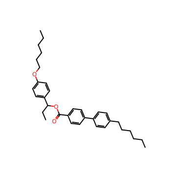 CCCCCCOc1ccc(C(CC)OC(=O)c2ccc(-c3ccc(CCCCCC)cc3)cc2)cc1